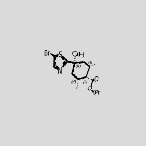 CC(C)OC(=O)[C@@H]1[C@H](C)C[C@@](O)(c2ncc(Br)s2)C[C@@H]1C